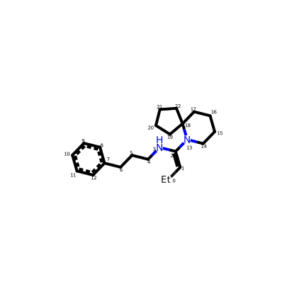 CCC=C(NCCCc1ccccc1)N1CCCCC12CCCC2